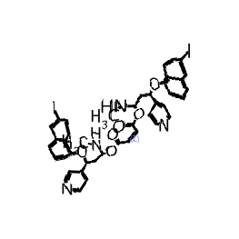 CNC(CC(Oc1cccc2cc(I)ccc12)c1ccncc1)OC(=O)/C=C\C(=O)OC(CC(Oc1cccc2cc(I)ccc12)c1ccncc1)NC